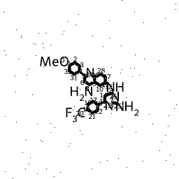 COc1ccc(-c2cc(N)c3cc(Nc4cc(-c5ccc(C(F)(F)F)cc5)nc(N)n4)ccc3n2)cc1